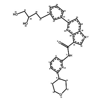 O=C(Nc1cccc(N2CCOCC2)n1)c1cnc2ccc(-c3cccc(CCC(O)CO)c3)nn12